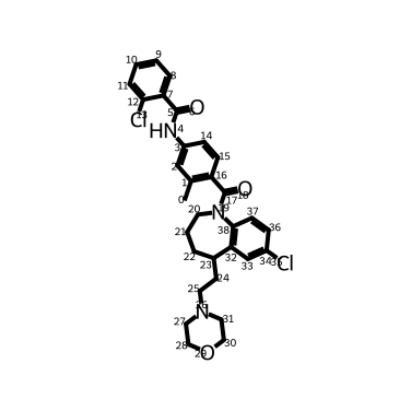 Cc1cc(NC(=O)c2ccccc2Cl)ccc1C(=O)N1CCCC(CCN2CCOCC2)c2cc(Cl)ccc21